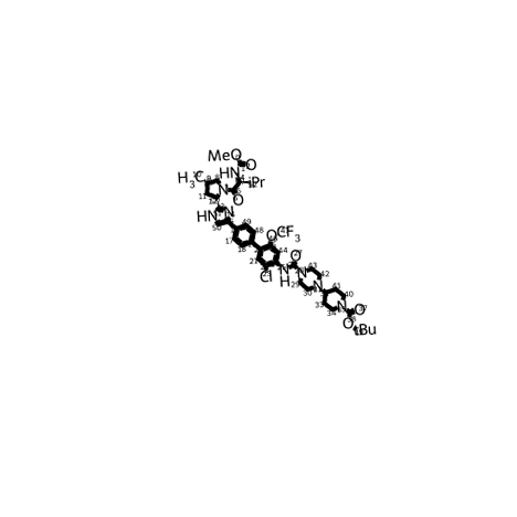 COC(=O)N[C@H](C(=O)N1C[C@@H](C)C[C@H]1c1nc(-c2ccc(-c3cc(Cl)c(NC(=O)N4CCN(C5CCN(C(=O)OC(C)(C)C)CC5)CC4)cc3OC(F)(F)F)cc2)c[nH]1)C(C)C